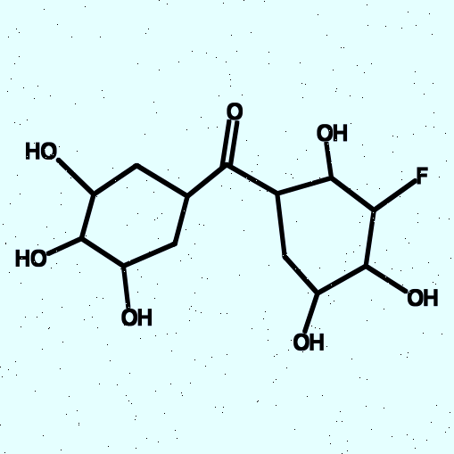 O=C(C1CC(O)C(O)C(O)C1)C1CC(O)C(O)C(F)C1O